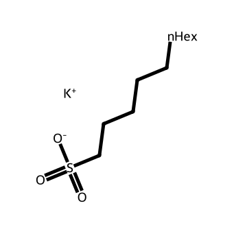 CCCCCCCCCCCS(=O)(=O)[O-].[K+]